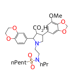 CCCCCS(=O)(=O)N(CCC)CCN1CC(c2cc(OC)c3c(c2)OCO3)C(C(=O)O)C1c1ccc2c(c1)OCCO2